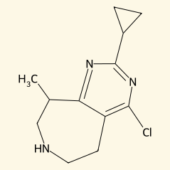 CC1CNCCc2c(Cl)nc(C3CC3)nc21